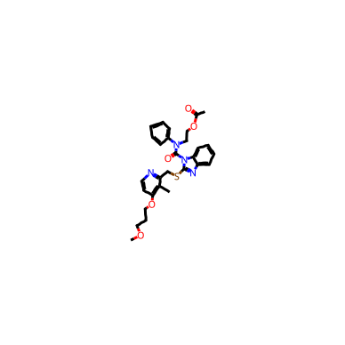 COCCCOc1ccnc(CSc2nc3ccccc3n2C(=O)N(CCOC(C)=O)c2ccccc2)c1C